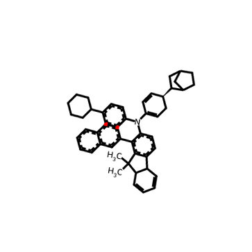 CC1(C)c2c(ccc(N(C3=CC[C@H](C4CC5CCC4C5)C=C3)c3ccc(C4CCCCC4)cc3)c2-c2ccc3ccccc3c2)C2C=CC=CC21